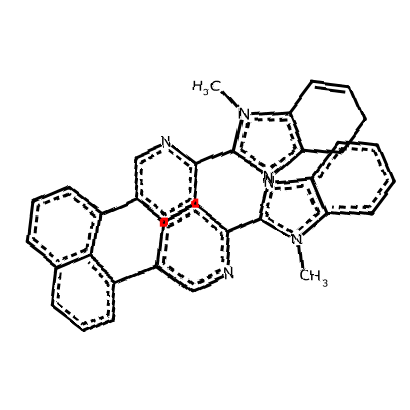 Cn1c(-c2ccc(-c3cccc4cccc(-c5ccc(-c6nc7ccccc7n6C)nc5)c34)cn2)nc2c1C=CCC2